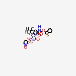 CC(C)(C)CC(NC(=O)Oc1csc2ccccc12)C(=O)N1CCC2C1C(=O)CN2S(=O)(=O)c1ccc[n+]([O-])c1